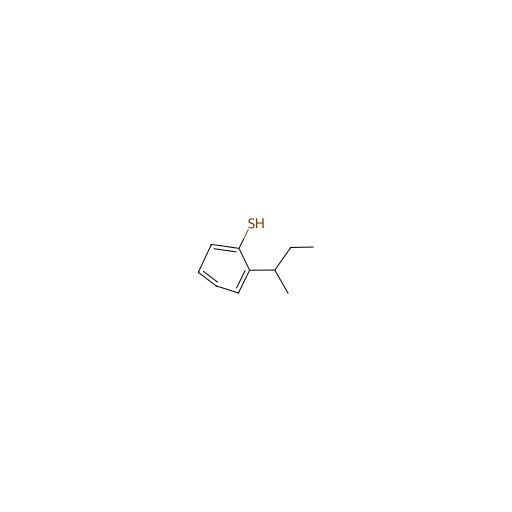 CCC(C)c1ccccc1S